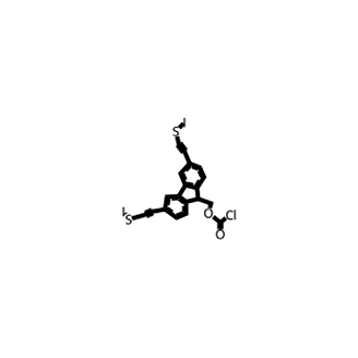 O=C(Cl)OCC1c2ccc(C#CSI)cc2-c2cc(C#CSI)ccc21